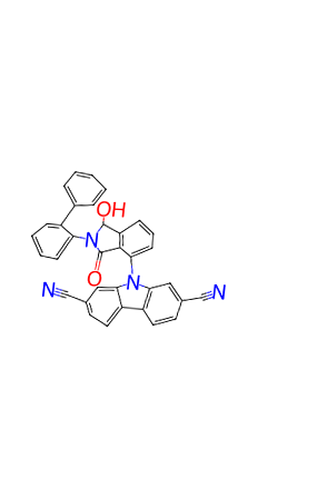 N#Cc1ccc2c3ccc(C#N)cc3n(-c3cccc4c3C(=O)N(c3ccccc3-c3ccccc3)C4O)c2c1